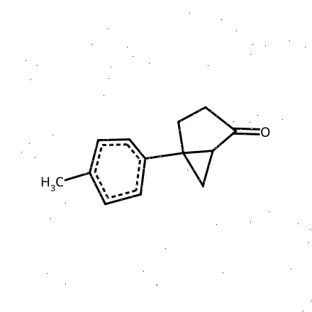 Cc1ccc(C23CCC(=O)C2C3)cc1